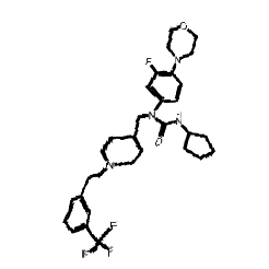 O=C(NC1CCCC1)N(CC1CCN(CCc2cccc(C(F)(F)F)c2)CC1)c1ccc(N2CCOCC2)c(F)c1